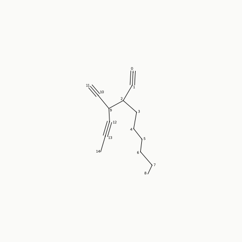 [C]#CC(CCCCCC)C(C#C)C#CC